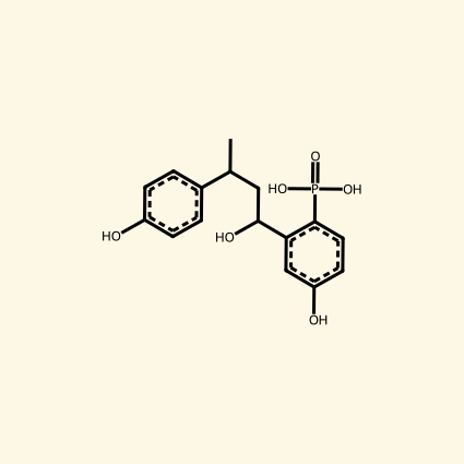 CC(CC(O)c1cc(O)ccc1P(=O)(O)O)c1ccc(O)cc1